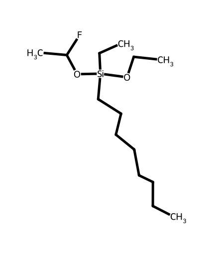 CCCCCCCC[Si](CC)(OCC)OC(C)F